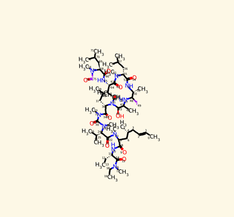 C/C=C/C[C@@H](C)CC(C(=O)N[C@@H](CC)C(=O)N(C)CC)N(C)C(=O)[C@H](C(C)C)N(C)C(=O)N(C)C(=O)[C@H](CC(C)C)N(C)C(O)C(C)NC(I)[C@@H](C)NC(=O)[C@@H](CC(C)C)N(C)C(=O)[C@@H](NC(=O)[C@H](CC(C)C)N(C)I=O)C(C)C